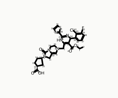 CCOC(=O)C1=C(CN2C=C3CN([C@@H]4CC[C@H](C(=O)O)C4)C(=O)N3CC2)NC(c2nccs2)=NC1c1cccc(F)c1Cl